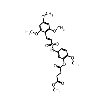 COC(=O)CCC(=O)Oc1cc(NS(=O)(=O)/C=C/c2c(OC)cc(OC)cc2OC)ccc1OC